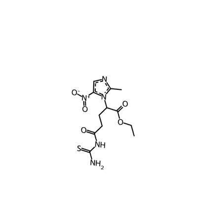 CCOC(=O)C(CCC(=O)NC(N)=S)n1c([N+](=O)[O-])cnc1C